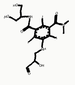 CN(C)C(=O)c1c(I)c(NCC(O)C=O)c(I)c(C(=O)NC(CO)CO)c1I